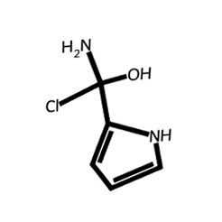 NC(O)(Cl)c1ccc[nH]1